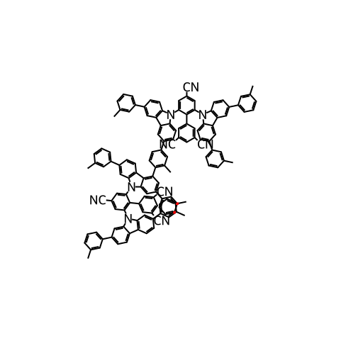 Cc1cccc(-c2ccc3c(c2)c2cc(-c4cccc(C)c4)ccc2n3-c2cc(C#N)cc(-n3c4ccc(-c5cccc(C)c5)cc4c4cc(-c5ccc(-c6cc(-c7cccc(C)c7)cc7c6c6ccc(-c8cccc(C)c8)cc6n7-c6cc(C#N)cc(-n7c8cc(-c9cccc(C)c9)ccc8c8ccc(-c9cccc(C)c9)cc87)c6-c6cc(C#N)cc(C#N)c6)c(C)c5)ccc43)c2-c2cc(C#N)cc(C#N)c2)c1